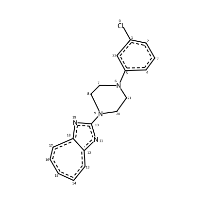 Clc1cccc(N2CCN(c3nc4cccccc-4n3)CC2)c1